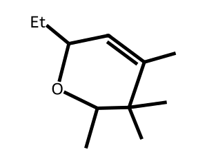 CCC1C=C(C)C(C)(C)C(C)O1